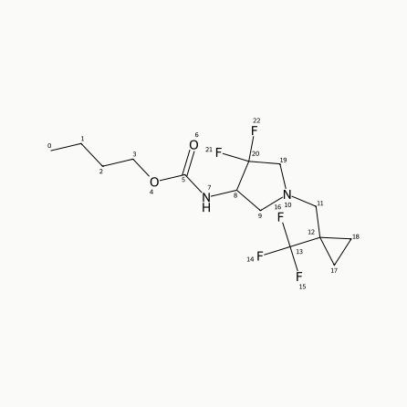 CCCCOC(=O)NC1CN(CC2(C(F)(F)F)CC2)CC1(F)F